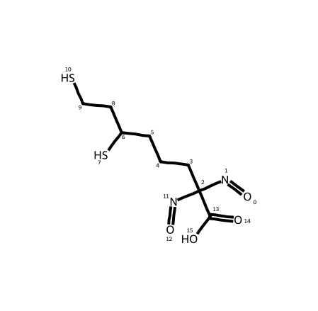 O=NC(CCCC(S)CCS)(N=O)C(=O)O